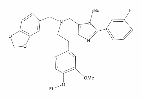 CCCCn1c(CN(CCc2ccc(OCC)c(OC)c2)Cc2ccc3c(c2)OCO3)cnc1-c1cccc(F)c1